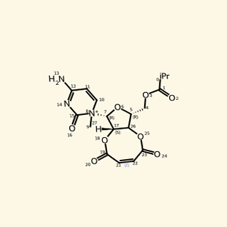 CC(C)C(=O)OC[C@H]1O[C@@H]([N+]2(C)C=CC(N)=NC2=O)[C@H]2OC(=O)/C=C\C(=O)OC12